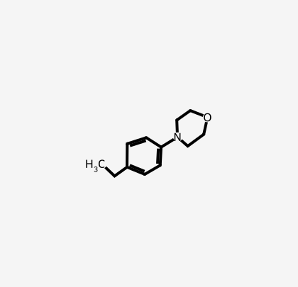 CCc1ccc(N2CCOCC2)cc1